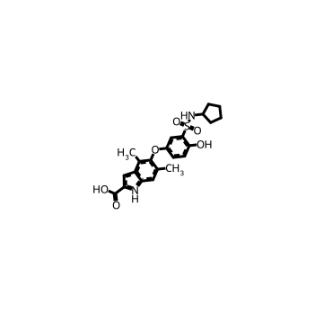 Cc1cc2[nH]c(C(=O)O)cc2c(C)c1Oc1ccc(O)c(S(=O)(=O)NC2CCCC2)c1